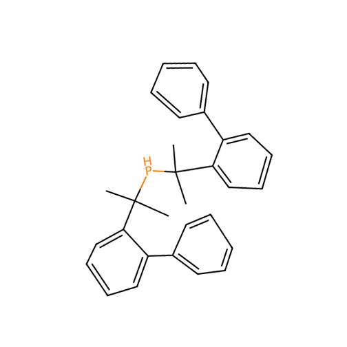 CC(C)(PC(C)(C)c1ccccc1-c1ccccc1)c1ccccc1-c1ccccc1